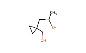 CC(S)CC1(CO)CC1